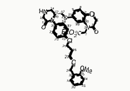 CCOC(=O)CN1C(=O)COc2ccc(SC[C@H]3CNCC(=O)N3c3ccc(OCCCOCc4ccccc4OC)cc3)cc21